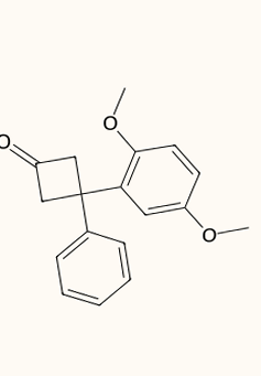 COc1ccc(OC)c(C2(c3ccccc3)CC(=O)C2)c1